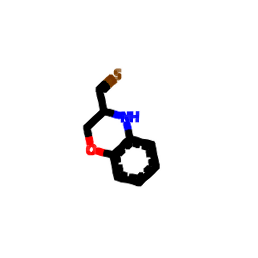 S=CC1COc2ccccc2N1